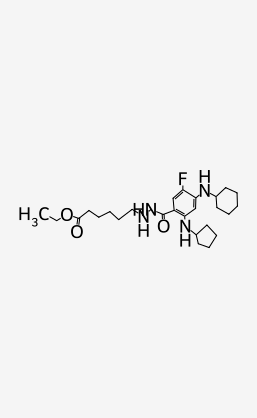 CCOC(=O)CCCCCNNC(=O)c1cc(F)c(NC2CCCCC2)cc1NC1CCCC1